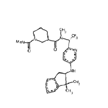 CNC(=O)N1CCCC(C(=O)N(C)[C@@H](c2ccc(NC3Cc4ccccc4C3(C)C)cn2)C(F)(F)F)C1